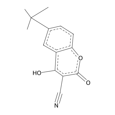 CC(C)(C)c1ccc2oc(=O)c(C#N)c(O)c2c1